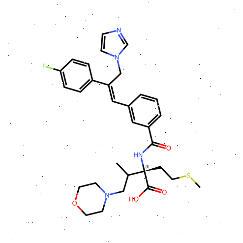 CSCC[C@@](NC(=O)c1cccc(C=C(Cn2ccnc2)c2ccc(F)cc2)c1)(C(=O)O)C(C)CN1CCOCC1